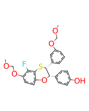 COCOc1cccc([C@H]2Sc3c(ccc(OCOC)c3F)O[C@H]2c2ccc(O)cc2)c1